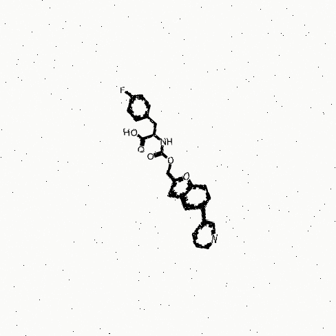 O=C(NC(Cc1ccc(F)cc1)C(=O)O)OCc1cc2cc(-c3cccnc3)ccc2o1